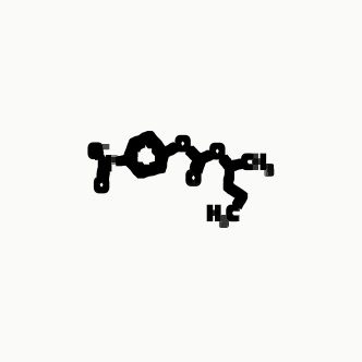 CCCC(C)OC(=O)Oc1ccc([N+](=O)[O-])cc1